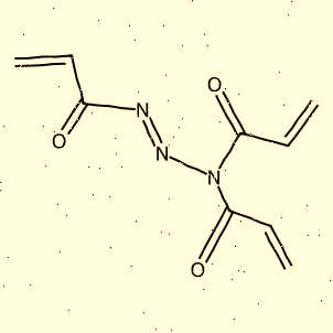 C=CC(=O)N=NN(C(=O)C=C)C(=O)C=C